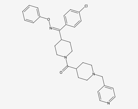 O=C(C1CCN(Cc2ccncc2)CC1)N1CCC(C(=NOc2ccccc2)c2ccc(Cl)cc2)CC1